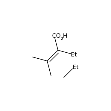 CCC.CCC(C(=O)O)=C(C)C